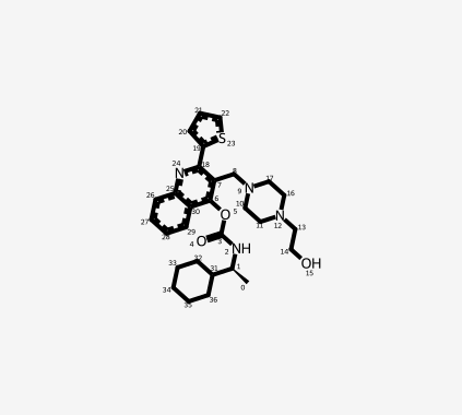 C[C@H](NC(=O)Oc1c(CN2CCN(CCO)CC2)c(-c2cccs2)nc2ccccc12)C1CCCCC1